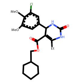 CCC1=C(C(=O)OCC2CCCCC2)C(c2cc(Cl)c(OC)c(OC)c2)NC(=O)N1